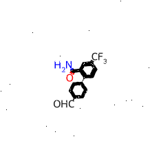 NC(=O)c1cc(C(F)(F)F)ccc1[C@H]1CC[C@@H](C=O)CC1